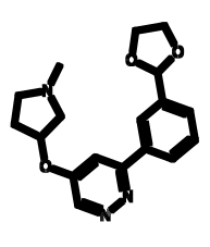 CN1CCC(Oc2cnnc(-c3cccc(C4OCCO4)c3)c2)C1